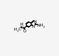 CNC(=O)c1ccc2cnc(N)nc2c1